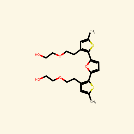 Cc1cc(CCOCCO)c(-c2ccc(-c3sc(C)cc3CCOCCO)o2)s1